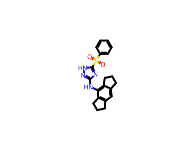 O=S(=O)(c1ccccc1)c1nc(Nc2c3c(cc4c2CCC4)CCC3)n[nH]1